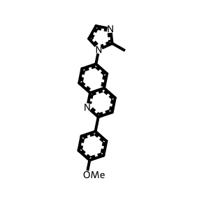 COc1ccc(-c2ccc3cc(-n4ccnc4C)ccc3n2)cc1